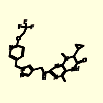 Cc1nc(NCc2cnn(Cc3ccc(OCC(F)(F)F)nc3)c2)nc2c1NC(=O)C(C1CC1)N2C